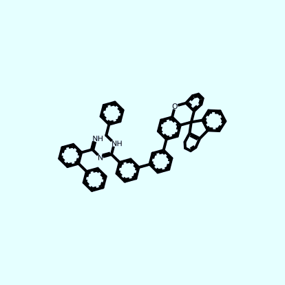 N=C(/N=C(\NCc1ccccc1)c1cccc(-c2cccc(-c3ccc4c(c3)C3(C5=C(C=CCC5)c5ccccc53)c3ccccc3O4)c2)c1)c1ccccc1-c1ccccc1